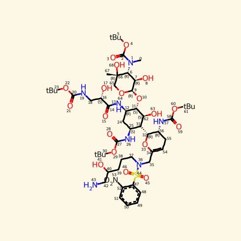 CN(C(=O)OC(C)(C)C)[C@@H]1[C@@H](O)[C@@H](O[C@H]2[C@H](NC(=O)[C@@H](O)CNC(=O)OC(C)(C)C)C[C@H](NC(=O)OC(C)(C)C)C([C@H]3OC(CN(CCCC(O)CN)S(=O)(=O)c4ccccc4[N+](=O)[O-])=CC[C@H]3NC(=O)OC(C)(C)C)[C@@H]2O)OC[C@]1(C)O